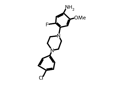 COc1cc(N2CCN(c3ccc(Cl)cc3)CC2)c(F)cc1N